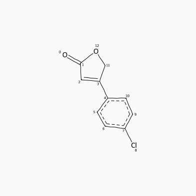 O=C1C=C(c2ccc(Cl)cc2)CO1